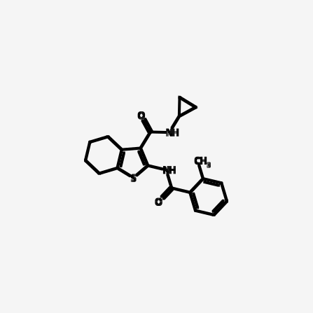 Cc1ccccc1C(=O)Nc1sc2c(c1C(=O)NC1CC1)CCCC2